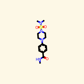 CNC(=O)c1ccc(N2CCN(S(=O)(=O)N(C)C)CC2)cc1